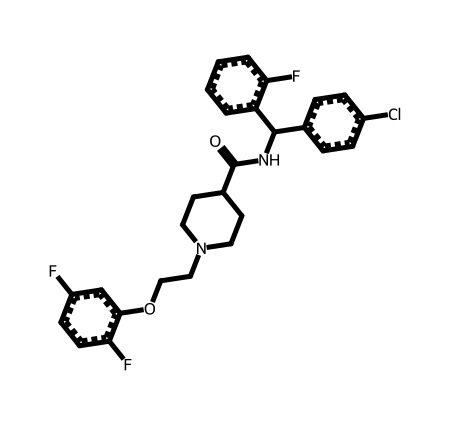 O=C(NC(c1ccc(Cl)cc1)c1ccccc1F)C1CCN(CCOc2cc(F)ccc2F)CC1